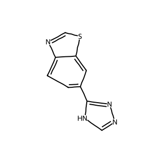 c1nnc(-c2ccc3ncsc3c2)[nH]1